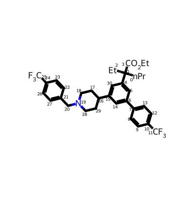 CCCC(CC)(C(=O)OCC)c1cc(-c2ccc(C(F)(F)F)cc2)cc(C2CCN(Cc3ccc(C(F)(F)F)cc3)CC2)c1